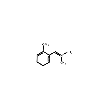 [CH2-]/[N+](C)=C\C1=CCCC=C1OC